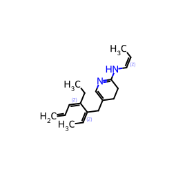 C=C/C=C(CC)\C(=C/C)CC1=CN=C(N/C=C\C)CC1